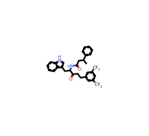 CC(CC(=O)NC(Cc1c[nH]c2ccccc12)C(=O)CCc1cc(C(F)(F)F)cc(C(F)(F)F)c1)c1ccccc1